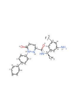 C[C@@H](NC(=O)c1ccc(=O)n(-c2ccc(-c3ccccc3)cc2)n1)c1cc(N)cc(C(F)(F)F)c1